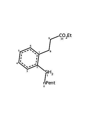 CCCCC[SiH2]c1ccccc1CCC(=O)OCC